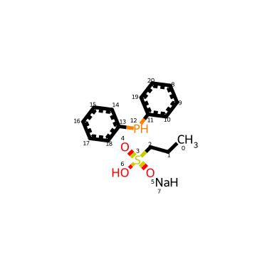 CCCS(=O)(=O)O.[NaH].c1ccc(Pc2ccccc2)cc1